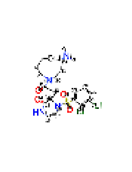 CN(C)[C@H]1CCCCN(C(=O)C[C@@H]2C(=O)NC=CN2S(=O)(=O)c2cccc(Cl)c2Cl)CC1